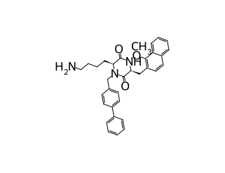 COc1c(C[C@@H]2NC(=O)[C@H](CCCCN)N(Cc3ccc(-c4ccccc4)cc3)C2=O)ccc2ccccc12